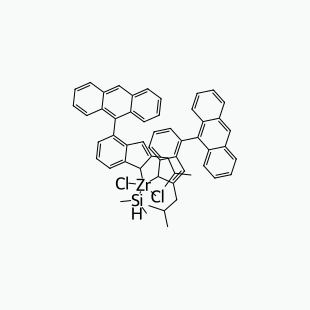 CC(C)CC1=Cc2c(-c3c4ccccc4cc4ccccc34)cccc2[CH]1[Zr]([Cl])([Cl])([CH]1C(CC(C)C)=Cc2c(-c3c4ccccc4cc4ccccc34)cccc21)[SiH](C)C